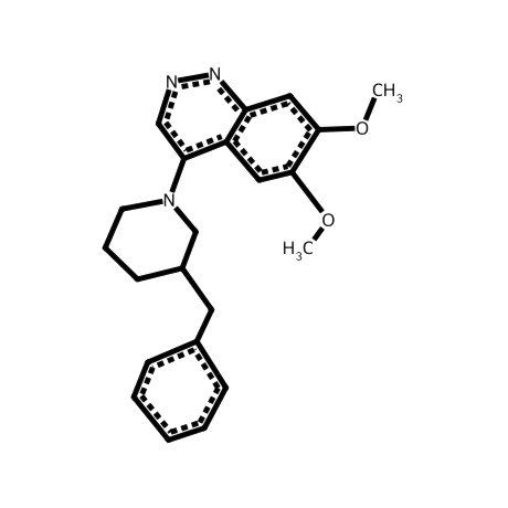 COc1cc2nncc(N3CCCC(Cc4ccccc4)C3)c2cc1OC